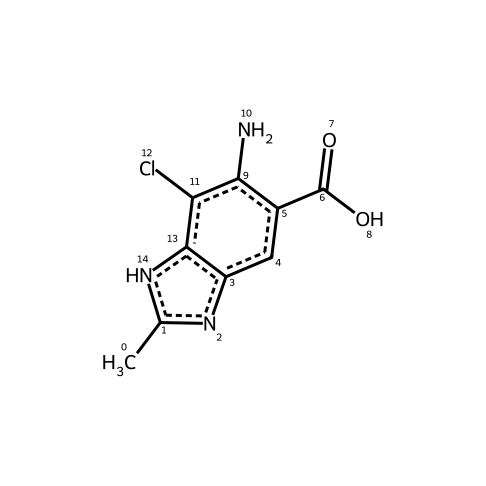 Cc1nc2cc(C(=O)O)c(N)c(Cl)c2[nH]1